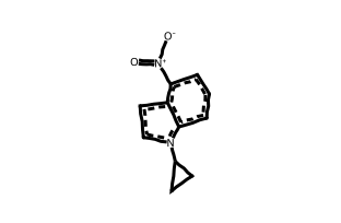 O=[N+]([O-])c1cccc2c1ccn2C1CC1